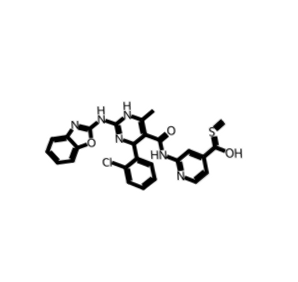 C=S=C(O)c1ccnc(NC(=O)C2=C(C)NC(Nc3nc4ccccc4o3)=NC2c2ccccc2Cl)c1